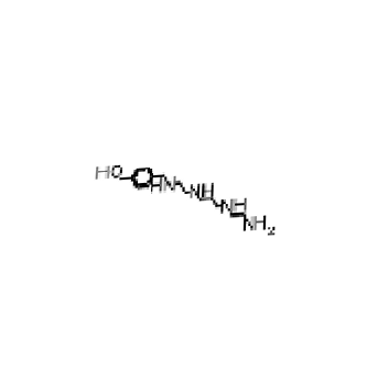 NCCNCCCNCCNCc1ccc(CO)cc1